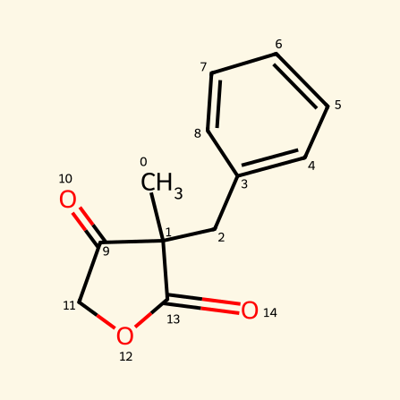 CC1(Cc2ccccc2)C(=O)COC1=O